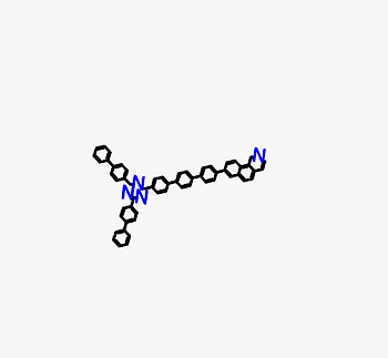 c1ccc(-c2ccc(-c3nc(-c4ccc(-c5ccccc5)cc4)nc(-c4ccc(-c5ccc(-c6ccc(-c7ccc8c(ccc9ccncc98)c7)cc6)cc5)cc4)n3)cc2)cc1